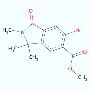 COC(=O)c1cc2c(cc1Br)C(=O)N(C)C2(C)C